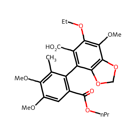 CCCOC(=O)c1cc(OC)c(OC)c(C)c1-c1c2c(c(OC)c(OCC)c1C(=O)O)OCO2